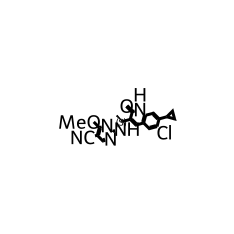 COc1nc(N[C@@H](C)c2cc3cc(Cl)c(C4CC4)cc3[nH]c2=O)ncc1C#N